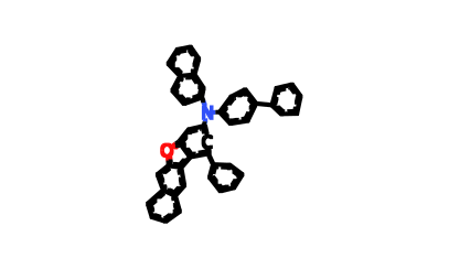 c1ccc(-c2ccc(N(c3ccc4ccccc4c3)c3cc(-c4ccccc4)c4c(c3)oc3cc5ccccc5cc34)cc2)cc1